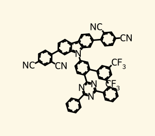 N#Cc1ccc(-c2ccc3c4ccc(-c5ccc(C#N)cc5C#N)cc4n(-c4ccc(-c5nc(-c6ccccc6)nc(-c6ccccc6)n5)c(-c5cc(C(F)(F)F)cc(C(F)(F)F)c5)c4)c3c2)c(C#N)c1